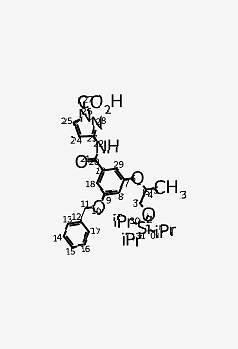 CC(C)[Si](OC[C@H](C)Oc1cc(OCc2ccccc2)cc(C(=O)Nc2ccn(C(=O)O)n2)c1)(C(C)C)C(C)C